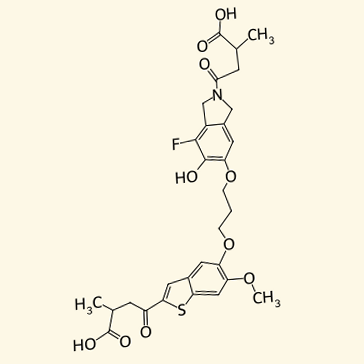 COc1cc2sc(C(=O)CC(C)C(=O)O)cc2cc1OCCCOc1cc2c(c(F)c1O)CN(C(=O)CC(C)C(=O)O)C2